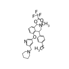 CSc1ccc(C2CN(C)C(OC(=O)C(F)(F)F)c3cccc(Oc4cncc(CN5CCCCC5)c4)c32)cc1